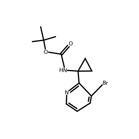 CC(C)(C)OC(=O)NC1(c2ncccc2Br)CC1